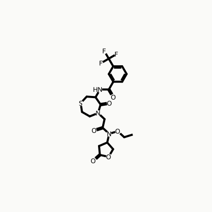 CCON(C(=O)CN1CCSCC(NC(=O)c2cccc(C(F)(F)F)c2)C1=O)C1COC(=O)C1